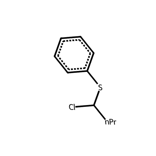 CCCC(Cl)Sc1ccccc1